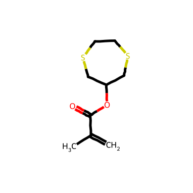 C=C(C)C(=O)OC1CSCCSC1